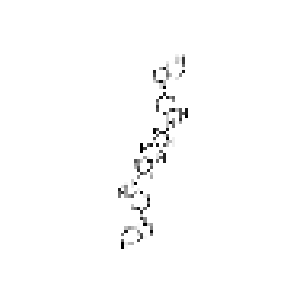 c1cc2c(ccn2-c2ccc3c(c2)ncn3-c2nc3nc4nc(-n5cnc6cc(-n7ccc8cnccc87)ccc65)sc4nc3s2)cn1